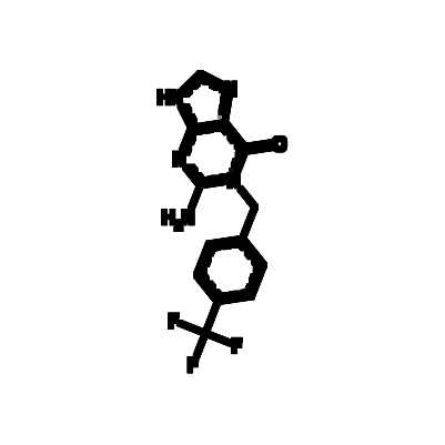 Nc1nc2[nH]cnc2c(=O)n1Cc1ccc(C(F)(F)F)cc1